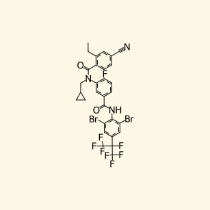 CCc1cc(C#N)ccc1C(=O)N(CC1CC1)c1cc(C(=O)Nc2c(Br)cc(C(F)(C(F)(F)F)C(F)(F)F)cc2Br)ccc1F